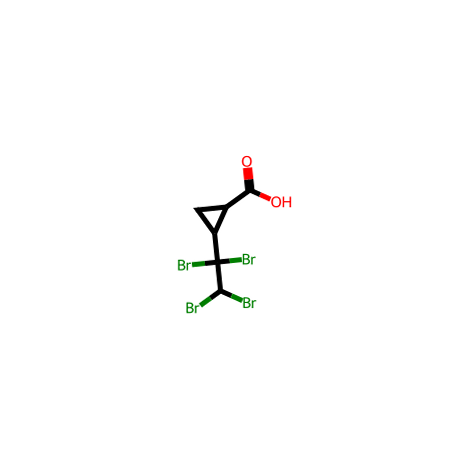 O=C(O)C1CC1C(Br)(Br)C(Br)Br